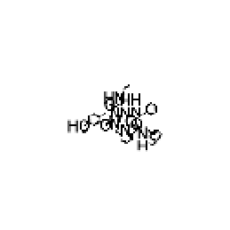 C=CCNCC(=O)N1[C@@H](NC(=O)NCc2ccccc2)CN(Cc2cccc(C(=O)NCc3cccs3)n2)C(=O)[C@@H]1Cc1ccc(O)cc1